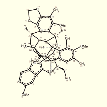 COc1ccc2[nH]c3c(c2c1)C[C@H](CN)N[C@]31CS[C@@H]2c3c(OC(C)=O)c(C)c4c(c3[C@H](COC1=O)N1[C@@H]2[C@H]2c3c(cc(C)c(OC)c3O)C3(C)CC1(C)CN23)OCO4